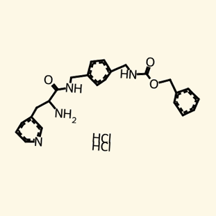 Cl.Cl.NC(Cc1cccnc1)C(=O)NCc1ccc(CNC(=O)OCc2ccccc2)cc1